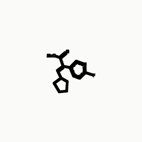 COC(=O)/C(=C/C1CCCC1)c1ccc(F)nc1